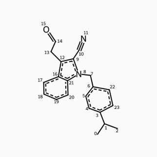 CC(C)c1ccc(Cn2c(C#N)c(CC=O)c3ccccc32)cc1